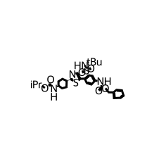 CC(C)OC(=O)N[C@H]1CC[C@H](c2ncc(-c3ccc(NC(=O)OCc4ccccc4)cc3S(=O)(=O)NC(C)(C)C)s2)CC1